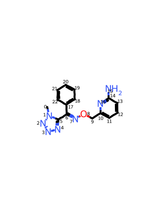 Cn1nnnc1/C(=N/OCc1cccc(N)n1)c1ccccc1